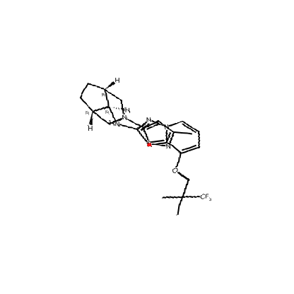 Cc1cc(N2C[C@H]3CC[C@@H](C2)[C@@H]3Nc2nc3c(OCC(C)(C)C(F)(F)F)cccn3n2)sn1